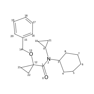 O=C(N(C1CCCCC1)C1CC1)C1(OCc2ccccc2)CC1